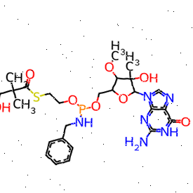 COC1C(COP(NCc2ccccc2)OCCSC(=O)C(C)(C)CO)OC(n2cnc3c(=O)[nH]c(N)nc32)C1(C)O